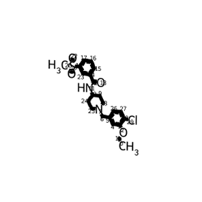 CCOc1cc(CN2CCC(NC(=O)c3cccc(S(C)(=O)=O)c3)CC2)ccc1Cl